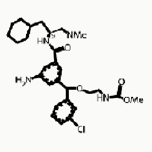 CNC[C@H](CC1CCCCC1)NC(=O)c1cc(N)cc(C(OCCNC(=O)OC)c2cccc(Cl)c2)c1